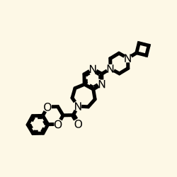 O=C(C1COc2ccccc2O1)N1CCc2cnc(N3CCN(C4CCC4)CC3)nc2CC1